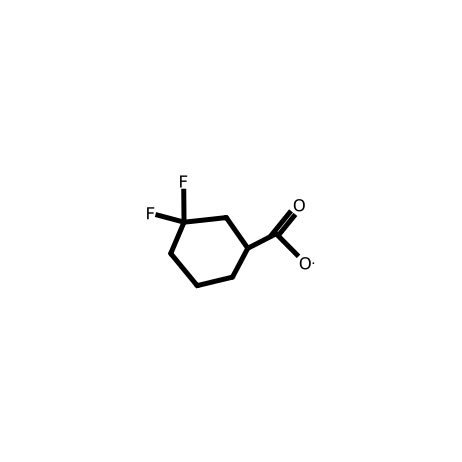 [O]C(=O)C1CCCC(F)(F)C1